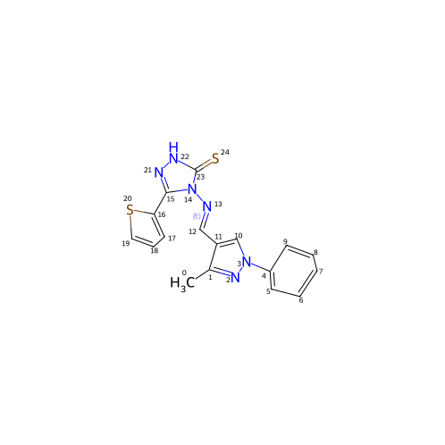 Cc1nn(-c2ccccc2)cc1/C=N/n1c(-c2cccs2)n[nH]c1=S